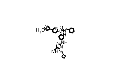 Cn1cc(-c2ccc(N(C(=O)NCc3ccccc3)c3ccc(Nc4ncc(C#N)c(NCC5CCC5)n4)cc3)nc2)cn1